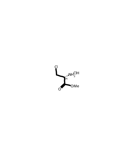 COC(=O)[C@@H](N)CCl.Cl